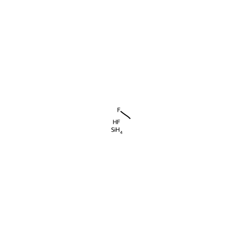 CF.F.[SiH4]